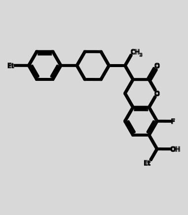 CCc1ccc(C2CCC(C(C)C3Cc4ccc(C(O)CC)c(F)c4OC3=O)CC2)cc1